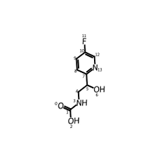 O=C(O)NCC(O)c1ccc(F)cn1